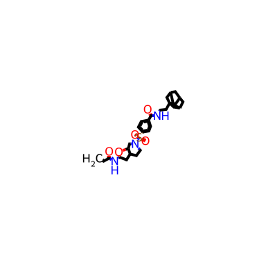 C=CC(=O)NC1CC2CCN(S(=O)(=O)c3ccc(C(=O)NCCC45CC6CC(CC(C6)C4)C5)cc3)CC2O1